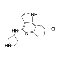 Clc1ccc2nc(NC3CCNC3)c3cc[nH]c3c2c1